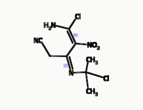 CC(C)(Cl)/N=C(CC#N)\C(=C(/N)Cl)[N+](=O)[O-]